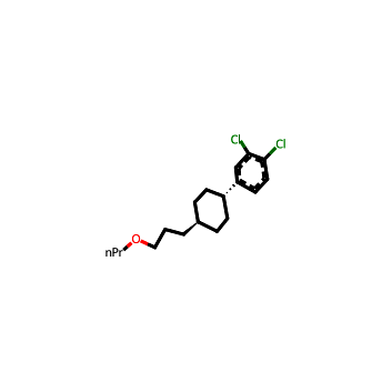 CCCOCCC[C@H]1CC[C@H](c2ccc(Cl)c(Cl)c2)CC1